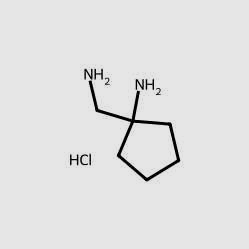 Cl.NCC1(N)CCCC1